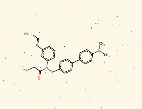 CN(C)c1ccc(-c2ccc(CN(C(=O)CC(C)(C)C)c3cccc(C=CC(=O)O)c3)cc2)cc1